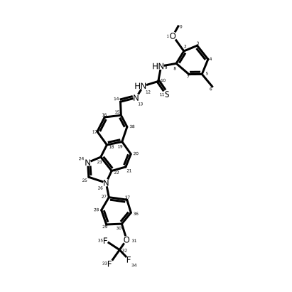 COc1ccc(C)cc1NC(=S)NN=Cc1ccc2c(ccc3c2ncn3-c2ccc(OC(F)(F)F)cc2)c1